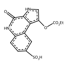 CCOC(=O)Oc1c[nH]c2c(=O)[nH]c3ccc(S(=O)(=O)O)cc3c12